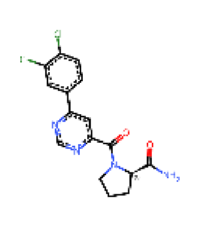 NC(=O)[C@H]1CCCN1C(=O)c1cc(-c2ccc(Cl)c(Cl)c2)ncn1